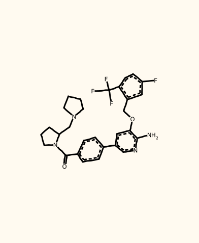 Nc1ncc(-c2ccc(C(=O)N3CCCC3CN3CCCC3)cc2)cc1OCc1cc(F)ccc1C(F)(F)F